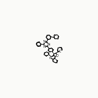 c1ccc(-c2cccc(-c3nc(-c4ccccc4)nc(-c4ccc(-c5c(-c6ccccc6)oc6c5c(-c5ccccc5)nc5ccccc56)cc4)n3)c2)cc1